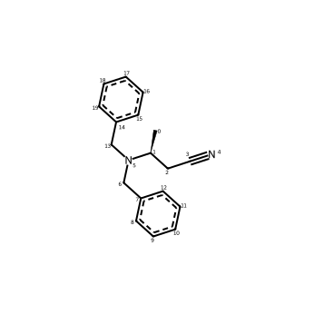 C[C@@H](CC#N)N(Cc1ccccc1)Cc1ccccc1